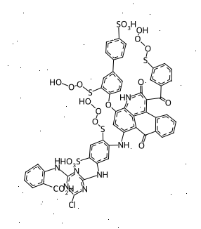 O=C(O)c1ccccc1Nc1nc(Cl)nc(Nc2cc(Nc3cc(Oc4ccc(-c5ccc(S(=O)(=O)O)cc5)cc4SOOO)c4[nH]c(=O)c(C(=O)c5cccc(SOOO)c5)c5c4c3C(=O)c3ccccc3-5)c(SOOO)cc2S(=O)(=O)O)n1